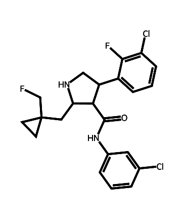 O=C(Nc1cccc(Cl)c1)C1C(CC2(CF)CC2)NCC1c1cccc(Cl)c1F